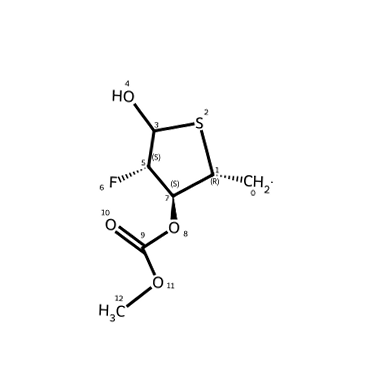 [CH2][C@H]1SC(O)[C@@H](F)[C@@H]1OC(=O)OC